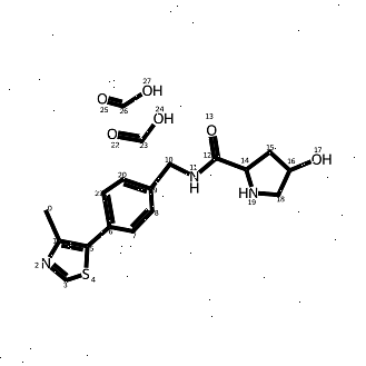 Cc1ncsc1-c1ccc(CNC(=O)C2CC(O)CN2)cc1.O=CO.O=CO